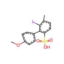 COc1ccc(-c2c(S(=O)(=O)O)ccc(C)c2I)cc1